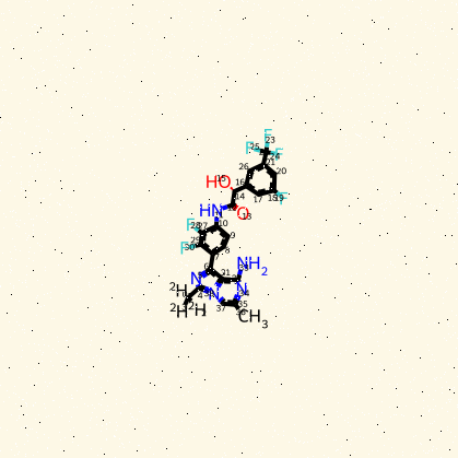 [2H]C([2H])([2H])c1nc(-c2ccc(NC(=O)[C@H](O)c3cc(F)cc(C(F)(F)F)c3)c(F)c2F)c2c(N)nc(C)cn12